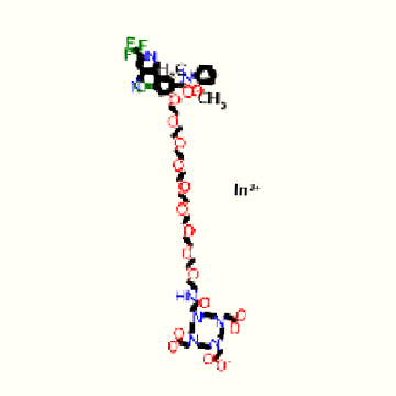 COc1ccccc1N(C)C(=O)c1cc(-c2cnc(C(F)(F)F)cc2C#N)c(Cl)cc1OCCOCCOCCOCCOCCOCCOCCOCCOCCNC(=O)CN1CCN(CC(=O)[O-])CCN(CC(=O)[O-])CCN(CC(=O)[O-])CC1.[In+3]